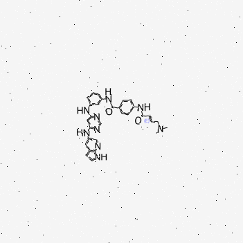 CN(C)C/C=C/C(=O)Nc1ccc(C(=O)Nc2cccc(Nc3cc(Nc4cnc5[nH]ccc5c4)ncn3)c2)cc1